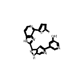 Oc1cncc(-c2cc3c(-c4nc5c(-c6ccc(F)s6)nccc5[nH]4)n[nH]c3cn2)c1